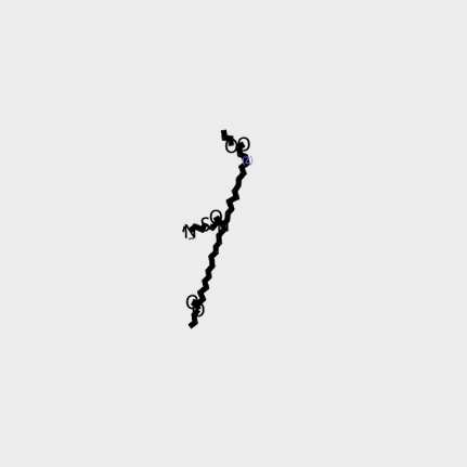 CCCOC(=O)C/C=C\CCCCCCCCCCN(CCCCCCCCCCCCCC(=O)OCCC)C(=O)CSCCN(C)C